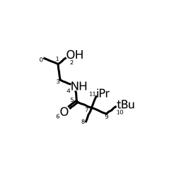 CC(O)CNC(=O)C(C)(CC(C)(C)C)C(C)C